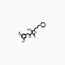 COc1cc(CC(=O)C2=C(O)C(CCCN3CCOCC3)OC2=O)cc(OC)c1